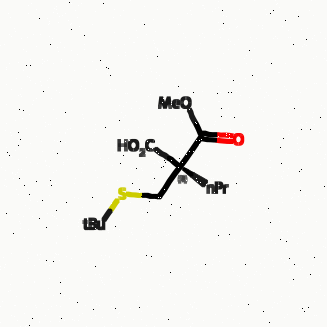 CCC[C@@](CSC(C)(C)C)(C(=O)O)C(=O)OC